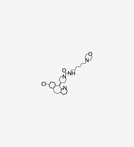 O=C(NCCCCCCN1CCOCC1)N1CCC(=C2c3ccc(Cl)cc3CCc3cccnc32)CC1